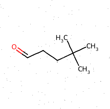 CC(C)(C)[CH]CC=O